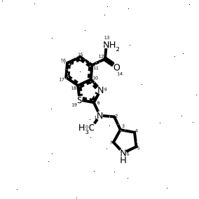 CN(CC1CCNC1)c1nc2c(C(N)=O)c[c]cc2s1